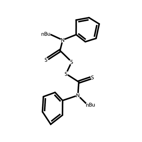 CCCCN(C(=S)SSC(=S)N(CCCC)c1ccccc1)c1ccccc1